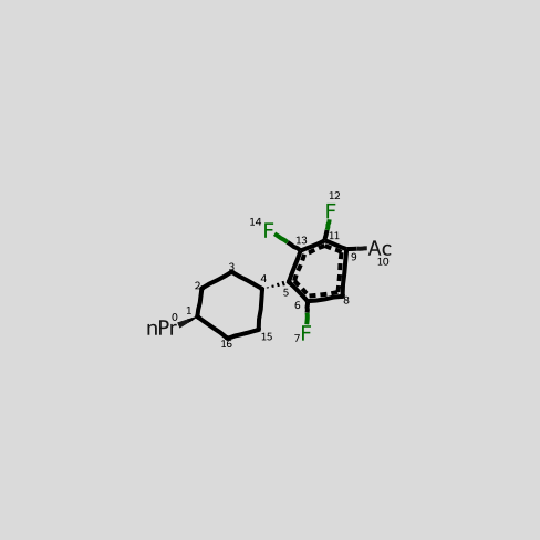 CCC[C@H]1CC[C@H](c2c(F)cc(C(C)=O)c(F)c2F)CC1